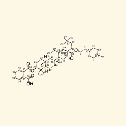 CN1CCN(CCOC(=O)[C@]23CCC(C)(C)CC2=C2CC[C@@H]4[C@@]5(C)CC[C@H](OC(=O)c6ccccc6C(=O)O)C(C)(C)[C@@H]5CC[C@@]4(C)[C@]2(C)CC3)CC1